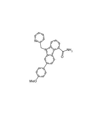 COc1ccc(-c2c[c]c3c4c(C(N)=O)cccc4n(Cc4ccccn4)c3c2)cc1